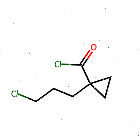 O=C(Cl)C1(CCCCl)CC1